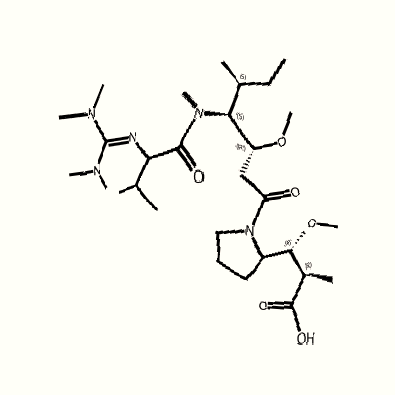 CC[C@H](C)[C@@H]([C@@H](CC(=O)N1CCCC1[C@H](OC)[C@@H](C)C(=O)O)OC)N(C)C(=O)C(N=C(N(C)C)N(C)C)C(C)C